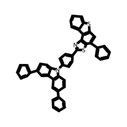 c1ccc(-c2ccc3c(c2)c2cc(-c4ccccc4)ccc2n3-c2ccc(-c3nc4c(s3)c(-c3ccccc3)cc3sc5ccccc5c34)cc2)cc1